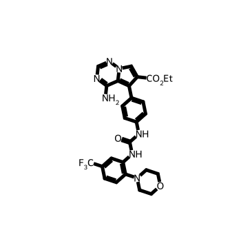 CCOC(=O)c1cn2ncnc(N)c2c1-c1ccc(NC(=O)Nc2cc(C(F)(F)F)ccc2N2CCOCC2)cc1